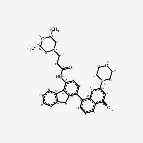 C[C@@H]1CN(CCC(=O)Nc2ccc(-c3cccc4c(=O)cc(N5CCOCC5)oc34)c3c2-c2ccccc2C3)C[C@H](C)O1